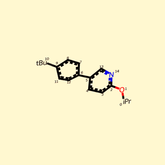 CC(C)Oc1ccc(-c2ccc(C(C)(C)C)cc2)cn1